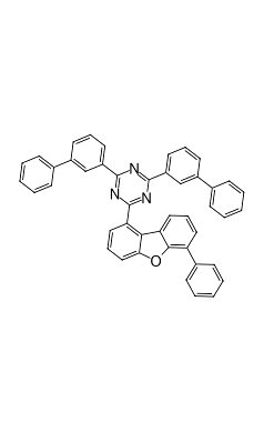 c1ccc(-c2cccc(-c3nc(-c4cccc(-c5ccccc5)c4)nc(-c4cccc5oc6c(-c7ccccc7)cccc6c45)n3)c2)cc1